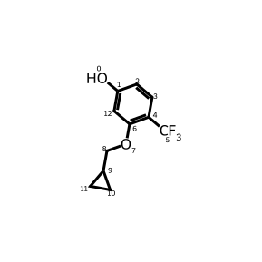 Oc1ccc(C(F)(F)F)c(OCC2CC2)c1